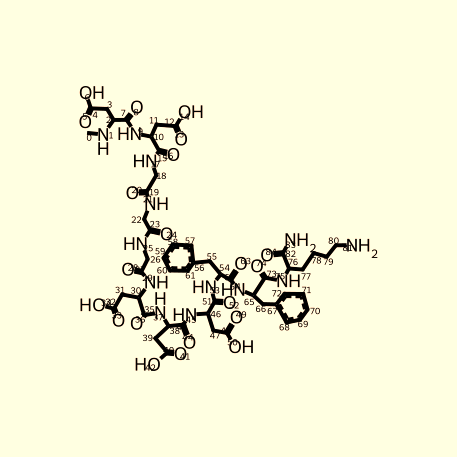 CNC(CC(=O)O)C(=O)NC(CC(=O)O)C(=O)NCC(=O)NCC(=O)NCC(=O)NC(CC(=O)O)C(=O)NC(CC(=O)O)C(=O)NC(CC(=O)O)C(=O)NC(Cc1ccccc1)C(=O)NC(Cc1ccccc1)C(=O)NC(CCCCN)C(N)=O